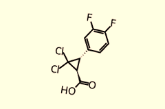 O=C(O)[C@@H]1[C@@H](c2ccc(F)c(F)c2)C1(Cl)Cl